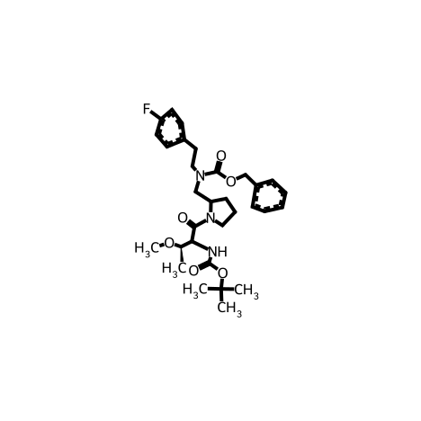 CO[C@H](C)C(NC(=O)OC(C)(C)C)C(=O)N1CCCC1CN(CCc1ccc(F)cc1)C(=O)OCc1ccccc1